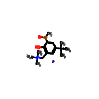 C[S+]([O-])c1cc(C(C)(C)C)cc(C[N+](C)(C)C)c1O.[I-]